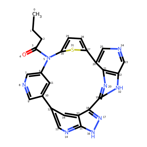 CCCC(=O)n1c2cncc(c2)c2cnc3[nH]nc(c4nc5c(cncc5c5ccc1s5)[nH]4)c3c2